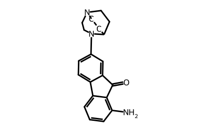 Nc1cccc2c1C(=O)c1cc(N3CCN4CCC3CC4)ccc1-2